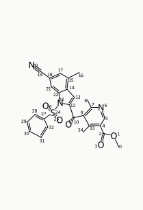 COC(=O)c1cnc(C)c(C(=O)c2cc3c(C)cc(C#N)cc3n2S(=O)(=O)c2ccccc2)c1C